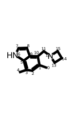 Cc1cc(C)c2[nH]ccc2c1CN1CCC1